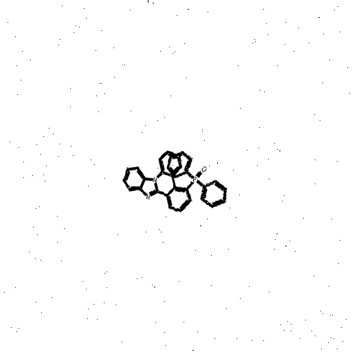 O=P(c1ccccc1)(c1ccccc1)c1cccc2c1c1ccccc1n1c3ccccc3nc21